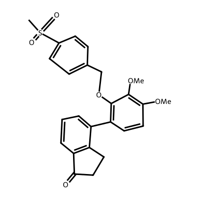 COc1ccc(-c2cccc3c2CCC3=O)c(OCc2ccc(S(C)(=O)=O)cc2)c1OC